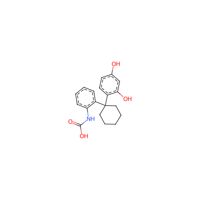 O=C(O)Nc1ccccc1C1(c2ccc(O)cc2O)CCCCC1